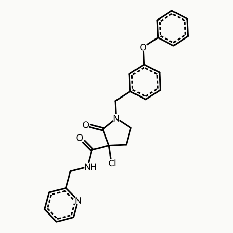 O=C(NCc1ccccn1)C1(Cl)CCN(Cc2cccc(Oc3ccccc3)c2)C1=O